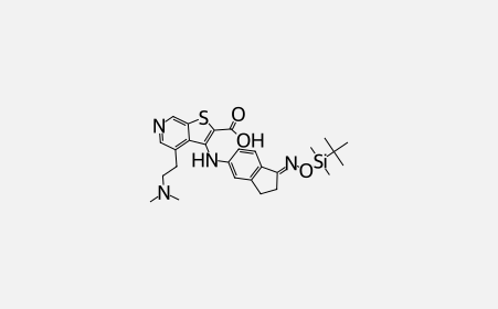 CN(C)CCc1cncc2sc(C(=O)O)c(Nc3ccc4c(c3)CCC4=NO[Si](C)(C)C(C)(C)C)c12